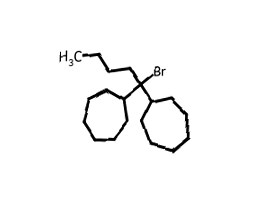 CCCCC(Br)(C1CCCCCC1)C1CCCCCC1